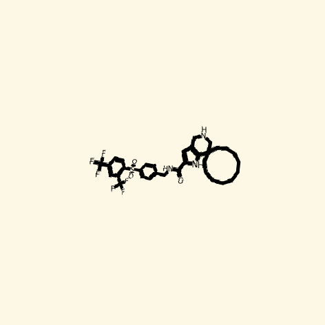 O=C(NCc1ccc(S(=O)(=O)c2ccc(C(F)(F)F)cc2C(F)(F)F)cc1)c1cc2c([nH]1)C1(CCCCCCCCCC1)CNC2